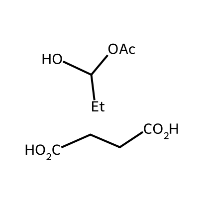 CCC(O)OC(C)=O.O=C(O)CCC(=O)O